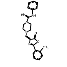 Cc1ccccc1C1=N/C(=C/N2CCN(C(=N)Nc3ccccc3)CC2)C(=O)O1